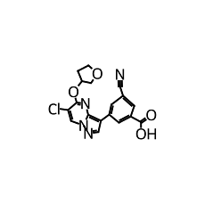 N#Cc1cc(C(=O)O)cc(-c2cnn3cc(Cl)c(OC4CCOC4)nc23)c1